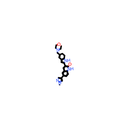 Cn1cc(-c2ccc3[nH]c(=O)c(-c4cc5c([nH]4)CCC(CN4CCOCC4)=C5)cc3c2)cn1